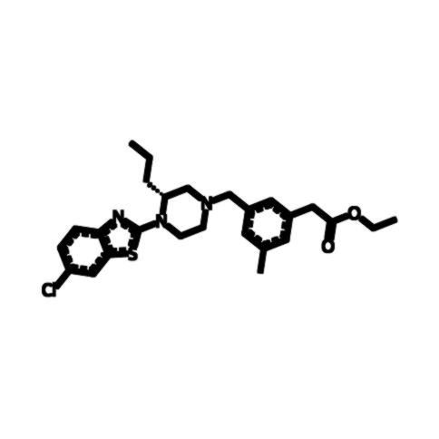 CCC[C@@H]1CN(Cc2cc(C)cc(CC(=O)OCC)c2)CCN1c1nc2ccc(Cl)cc2s1